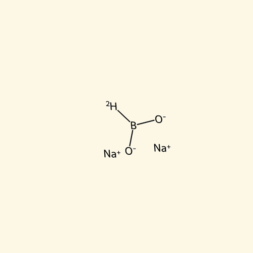 [2H]B([O-])[O-].[Na+].[Na+]